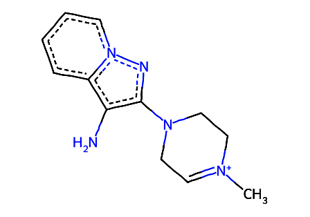 C[N+]1=CCN(c2nn3ccccc3c2N)CC1